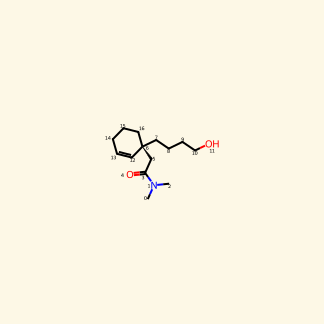 CN(C)C(=O)C[C@@]1(CCCCO)C=CCCC1